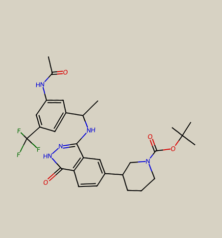 CC(=O)Nc1cc(C(C)Nc2n[nH]c(=O)c3ccc(C4CCCN(C(=O)OC(C)(C)C)C4)cc23)cc(C(F)(F)F)c1